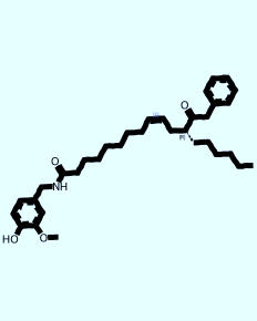 CCCCCC[C@H](C/C=C\CCCCCCCC(=O)NCc1ccc(O)c(OC)c1)C(=O)Cc1ccccc1